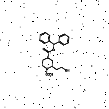 O=C(OC(c1ccccc1)c1ccccc1)N1CCN(C(=O)O)C(CCO)C1